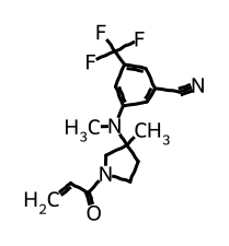 C=CC(=O)N1CCC(C)(N(C)c2cc(C#N)cc(C(F)(F)F)c2)C1